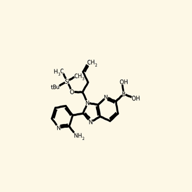 C=CCC(O[Si](C)(C)C(C)(C)C)n1c(-c2cccnc2N)nc2ccc(B(O)O)nc21